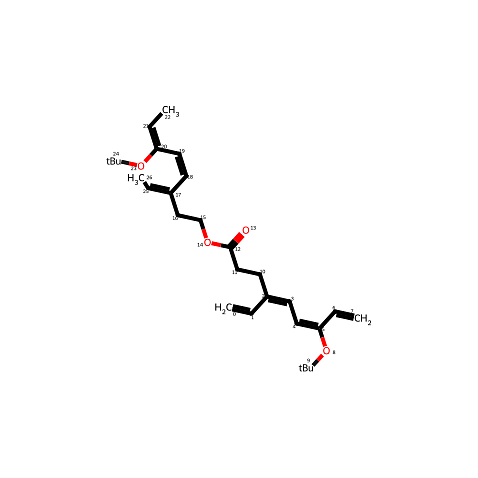 C=C/C(=C\C=C(/C=C)OC(C)(C)C)CCC(=O)OCCC(/C=C\C(=C/C)OC(C)(C)C)=C/C